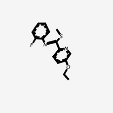 CCOc1ccc(/C(=N/c2ccccc2F)SC)nc1